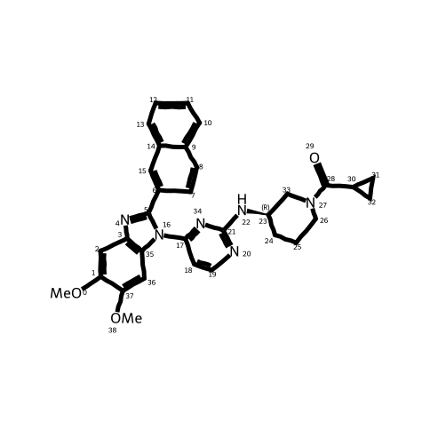 COc1cc2nc(-c3ccc4ccccc4c3)n(-c3ccnc(N[C@@H]4CCCN(C(=O)C5CC5)C4)n3)c2cc1OC